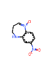 O=[N+]([O-])c1ccc2c(c1)NCCC=[N+]2[O-]